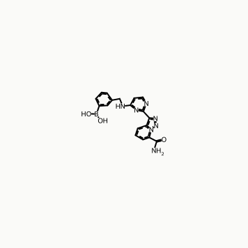 NC(=O)c1cccc2c(-c3nccc(NCc4cccc(B(O)O)c4)n3)nnn12